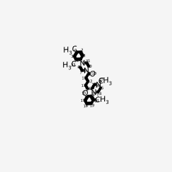 Cc1ccc(N2CCN(C(=O)CCCCOc3cccc(C)c3N3CCN(C)CC3)CC2)c(C)c1